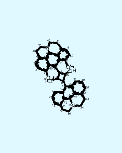 Oc1ccc2c3c4c5c(ccc(O)c5c(C5C(O)C(c6c7cccc8c7c7c9c(cccc69)CCN7CC8)C5O)c13)CCN4CC2